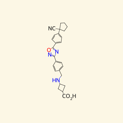 N#CC1(c2ccc(-c3nc(-c4ccc(CNC5CC(C(=O)O)C5)cc4)no3)cc2)CCCC1